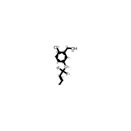 C/C=C/C(F)(F)Oc1ccc(Cl)c(CO)c1